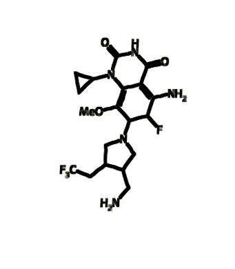 COC1=c2c(c(=O)[nH]c(=O)n2C2CC2)=C(N)C(F)C1N1CC(CN)C(CC(F)(F)F)C1